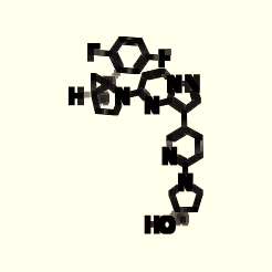 O[C@H]1CCN(c2ccc(-c3cnn4ccc(N5CC[C@H]6C[C@]65c5cc(F)ccc5F)nc34)cn2)C1